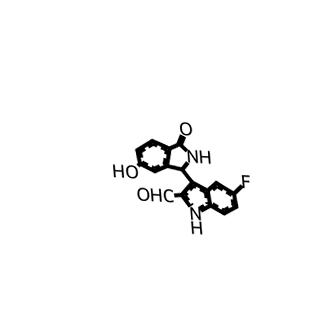 O=Cc1[nH]c2ccc(F)cc2c1C1NC(=O)c2ccc(O)cc21